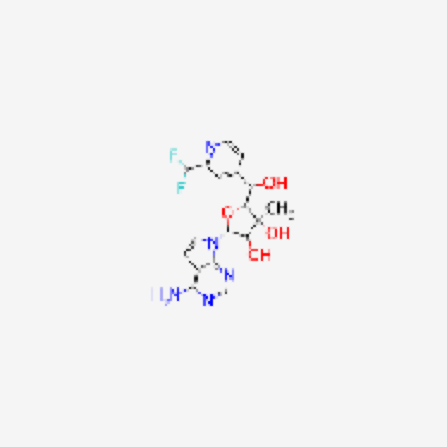 C[C@@]1(O)[C@@H]([C@H](O)c2ccnc(C(F)F)c2)O[C@@H](n2ccc3c(N)ncnc32)[C@@H]1O